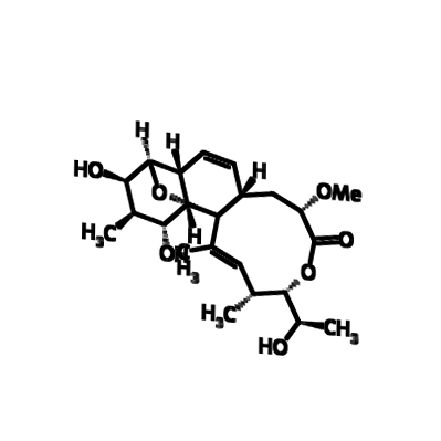 CO[C@H]1C[C@H]2C=C[C@H]3[C@H]4O[C@]2(/C(C)=C/[C@@H](C)[C@@H]([C@@H](C)O)OC1=O)[C@@H]3[C@H](O)[C@@H](C)[C@H]4O